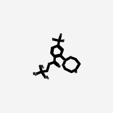 CC(C)(C)COC(=O)c1ccc(C(F)(F)F)cc1B1OCCNCCO1